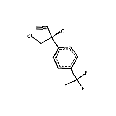 C=C[C@@](Cl)(CCl)c1[c]cc(C(F)(F)F)cc1